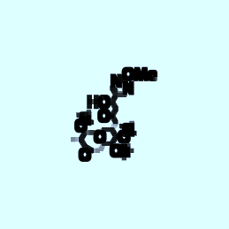 COc1ncc(C(O)CC(=O)C[C@H]2CO[C@@H](C[C@@H]3O[C@H]3[C@H](C)[C@H](C)O[Si](C)(C)C)[C@@H](O[Si](C)(C)C)[C@@H]2O[Si](C)(C)C)cn1